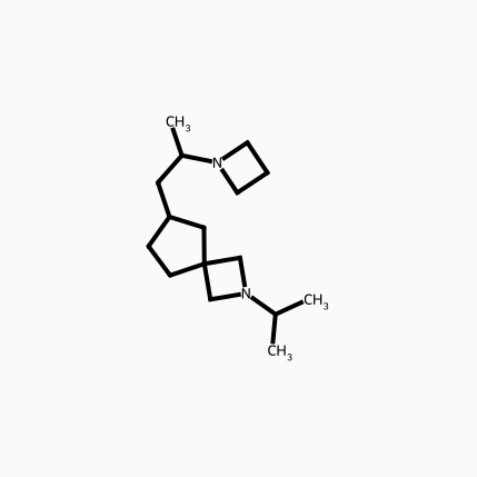 CC(C)N1CC2(CCC(CC(C)N3CCC3)C2)C1